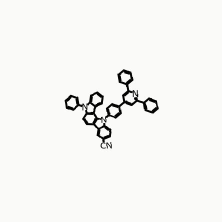 N#Cc1ccc2c(c1)c1ccc3c(c4ccccc4n3-c3ccccc3)c1n2-c1ccc(-c2cc(-c3ccccc3)nc(-c3ccccc3)c2)cc1